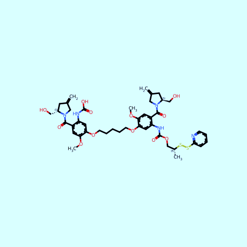 C=C1C[C@@H](CO)N(C(=O)c2cc(OC)c(OCCCCCOc3cc(NC(=O)OC[C@@H](C)SSc4ccccn4)c(C(=O)N4CC(=C)C[C@H]4CO)cc3OC)cc2NC(=O)O)C1